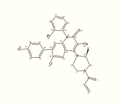 C=CC(=O)N1CCN(c2c(C#N)c(=O)n(-c3ccccc3C(C)C)c3cc(-c4ccc(Cl)cc4)c(Cl)cc23)[C@@H](C)C1